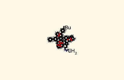 C=C/C=C\C=CC1=CC(c2ccccc2)=C(N2c3cc(N4C5CC6CC(C5)CC4C6)ccc3B3c4cc(-c5ccc(C(C)(C)C)cc5)ccc4N(c4c(-c5ccccc5)cc(-c5ccccc5)cc4-c4ccccc4)c4cc(-c5ccccc5)cc2c43)[C@H]1c1ccccc1